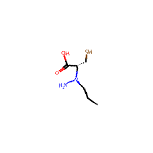 CCCN(N)[C@@H](CS)C(=O)O